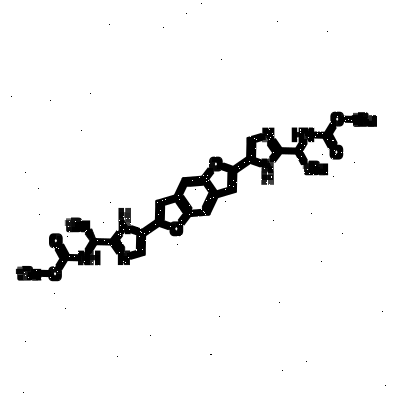 CC(C)(C)OC(=O)NC(c1ncc(-c2cc3cc4oc(-c5cnc([C@@H](NC(=O)OC(C)(C)C)C(C)(C)C)[nH]5)cc4cc3o2)[nH]1)C(C)(C)C